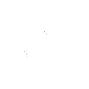 CC1(C)c2c(C#N)cccc2-c2cccc(-c3ccccn3)c21